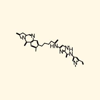 C=Cc1cc(NC(=C)c2nc(NC(=C)CCCCc3cc4c(cc3C)C(=C)N3CC(=C)CC3C=N4)cn2C)cn1C